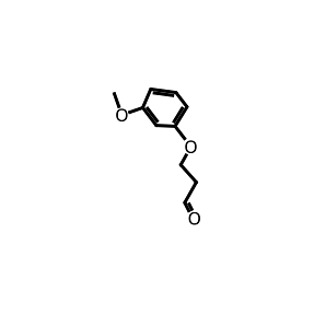 COc1cccc(OCCC=O)c1